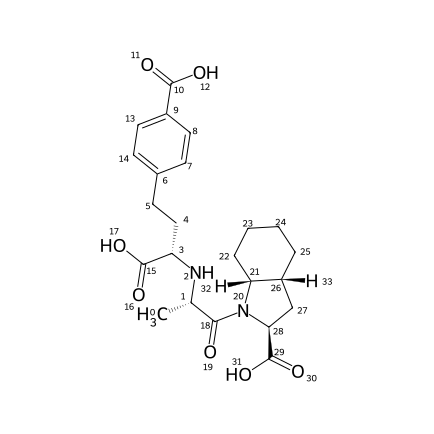 C[C@H](N[C@@H](CCc1ccc(C(=O)O)cc1)C(=O)O)C(=O)N1[C@@H]2CCCC[C@@H]2C[C@H]1C(=O)O